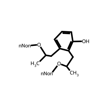 CCCCCCCCCOC(C)Cc1cccc(O)c1CC(C)OCCCCCCCCC